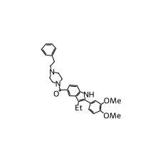 CCc1c(-c2ccc(OC)c(OC)c2)[nH]c2ccc(C(=O)N3CCN(CCc4ccccc4)CC3)cc12